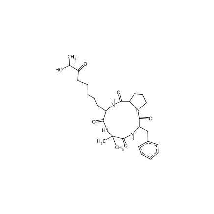 CC(O)C(=O)CCCCCC1NC(=O)C2CCCN2C(=O)C(Cc2ccccc2)NC(=O)C(C)(C)NC1=O